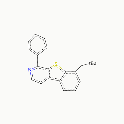 CC(C)(C)Cc1cccc2c1sc1c(-c3ccccc3)nccc12